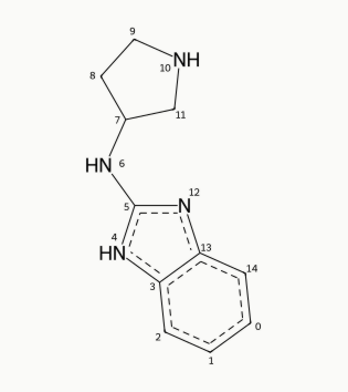 c1ccc2[nH]c(NC3CCNC3)nc2c1